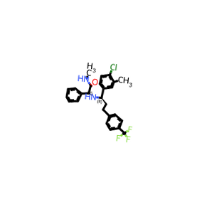 CNC(=O)[C@H](N[C@H](CCc1ccc(C(F)(F)F)cc1)c1ccc(Cl)c(C)c1)c1ccccc1